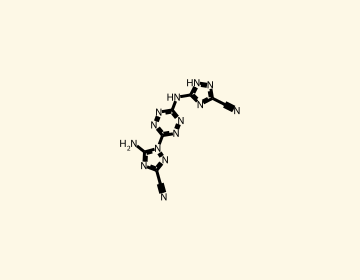 N#Cc1n[nH]c(Nc2nnc(-n3nc(C#N)nc3N)nn2)n1